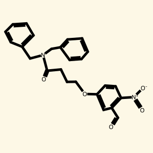 O=Cc1cc(OCCCC(=O)N(Cc2ccccc2)Cc2ccccc2)ccc1[N+](=O)[O-]